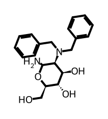 NC1O[C@H](CO)[C@@H](O)[C@H](O)[C@@H]1N(Cc1ccccc1)Cc1ccccc1